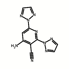 N#Cc1c(N)cc(-n2nccn2)nc1-n1nccn1